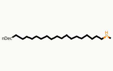 CCCCCCCCCCCCCCCCCCCCCCCCCCCCPC